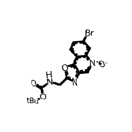 CC(C)(C)OC(=O)NCc1nc2c[n+]([O-])c3cc(Br)ccc3c2o1